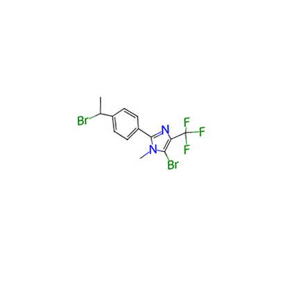 CC(Br)c1ccc(-c2nc(C(F)(F)F)c(Br)n2C)cc1